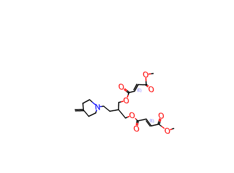 C=C1CCN(CCC(COC(=O)/C=C/C(=O)OC)COC(=O)/C=C/C(=O)OC)CC1